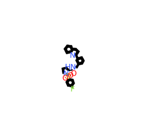 O=C(NCc1cccc(-c2ccc3ccccc3n2)c1)[C@@H]1CCCN1S(=O)(=O)c1ccc(F)cc1